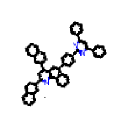 c1ccc(-c2cc(-c3ccccc3)nc(-c3ccc(-c4cc5c(-c6ccc7ccccc7c6)cc(-c6ccc7ccccc7c6)nc5c5ccccc45)cc3)n2)cc1